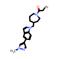 CC(C)CC(=O)N1CCCC(Cn2ccc3cc(-c4cnn(C)c4)ccc32)CC1